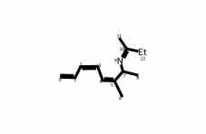 C=C/C=C\C=C(\C)C(C)/N=C(/C)CC